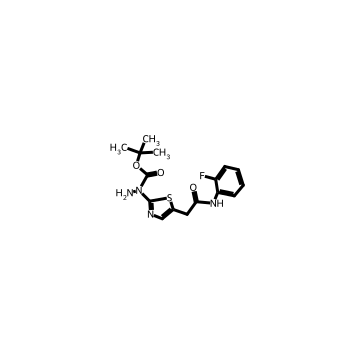 CC(C)(C)OC(=O)N(N)c1ncc(CC(=O)Nc2ccccc2F)s1